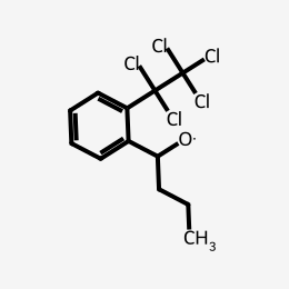 CCCC([O])c1ccccc1C(Cl)(Cl)C(Cl)(Cl)Cl